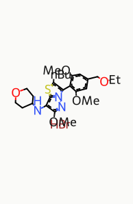 Br.CCCCc1sc2c(NC3CCOCC3)c(OC)nn2c1-c1c(OC)cc(COCC)cc1OC